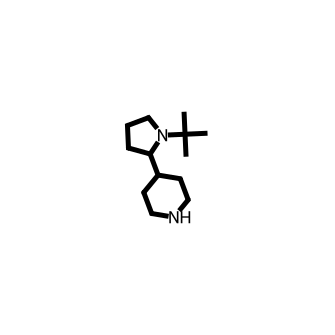 CC(C)(C)N1CCCC1C1CCNCC1